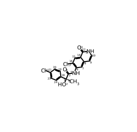 C[C@](O)(C(=O)Nc1cc2cc[nH]c(=O)c2cc1Cl)c1ccc(Cl)cc1